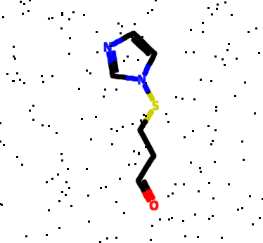 O=CCCSn1ccnc1